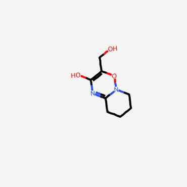 OCC1=C(O)N=C2CCCCN2O1